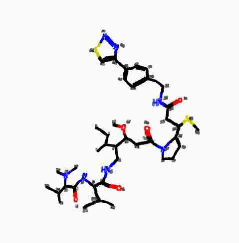 CCC(C)C(CNC(=O)C(NC(=O)C(C(C)C)N(C)C)C(C)C)C(CC(=O)N1CCCC1C(CC(=O)NCc1ccc(-c2csnn2)cc1)SC)OC